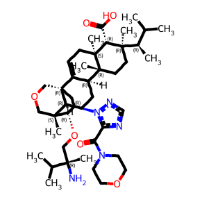 CC(C)[C@@H](C)[C@@]1(C)CC[C@]2(C)[C@H]3CC[C@@H]4[C@@]5(COC[C@@]4(C)[C@@H](OC[C@](C)(N)C(C)C)[C@H](n4ncnc4C(=O)N4CCOCC4)C5)C3=CC[C@@]2(C)[C@@H]1C(=O)O